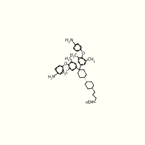 CCCCCCCCCCCCC[C@H]1CC[C@H](C2CCC(c3cc(C)c(Oc4ccc(N)cc4)c(C)c3)(c3cc(C)c(Oc4ccc(N)cc4)c(C)c3)CC2)CC1